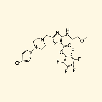 COCCNc1nc(CN2CCN(c3ccc(Cl)cc3)CC2)sc1C(=O)Oc1c(F)c(F)c(F)c(F)c1F